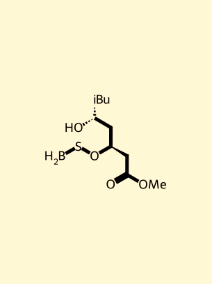 BSO[C@H](CC(=O)OC)C[C@H](O)[C@@H](C)CC